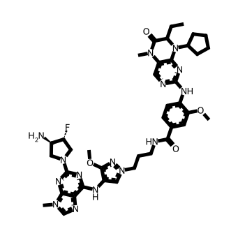 CCC1C(=O)N(C)c2cnc(Nc3ccc(C(=O)NCCCn4cc(Nc5nc(N6C[C@@H](N)[C@H](F)C6)nc6c5ncn6C)c(OC)n4)cc3OC)nc2N1C1CCCC1